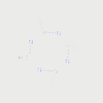 CN1[SiH2]N=[Si](C)N(C)[Si](C)(C)N(C)[Si]1(C)C